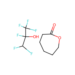 O=C1CCCCCO1.OC(F)(C(F)F)C(F)(F)F